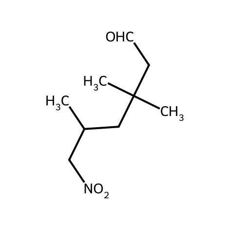 CC(C[N+](=O)[O-])CC(C)(C)CC=O